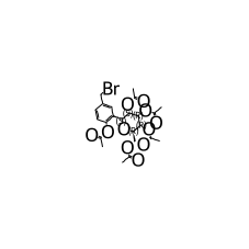 CC(=O)OC[C@H]1O[C@@H](c2cc(CBr)ccc2OC(C)=O)[C@H](OC(C)=O)[C@@H](OC(C)=O)[C@@H]1OC(C)=O